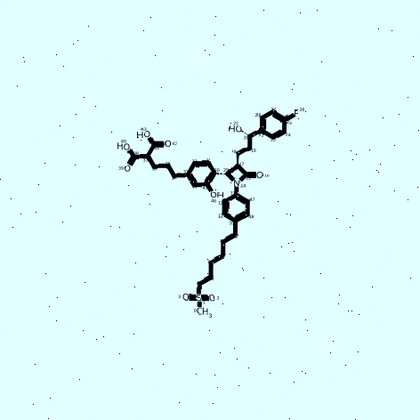 CS(=O)(=O)CCCCCCc1ccc(N2C(=O)[C@H](CC[C@H](O)c3ccc(F)cc3)[C@H]2c2ccc(CCCC(C(=O)O)C(=O)O)cc2O)cc1